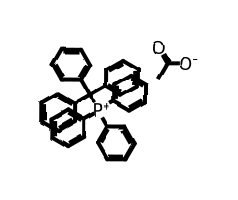 CC(=O)[O-].c1ccc(C(c2ccccc2)(c2ccccc2)[P+](c2ccccc2)(c2ccccc2)c2ccccc2)cc1